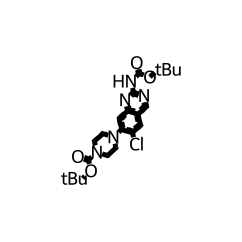 CC(C)(C)OC(=O)Nc1ncc2cc(Cl)c(N3CCN(C(=O)OC(C)(C)C)CC3)cc2n1